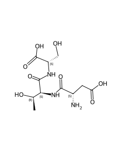 C[C@@H](O)[C@H](NC(=O)[C@@H](N)CC(=O)O)C(=O)N[C@@H](CO)C(=O)O